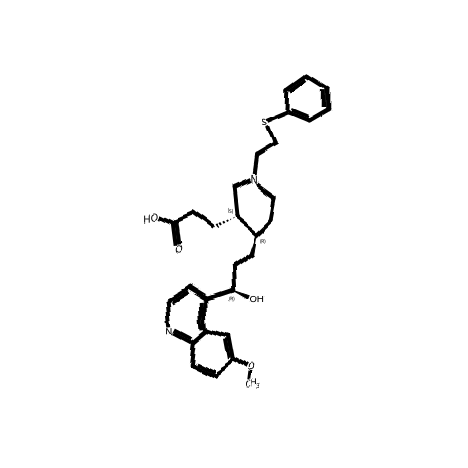 COc1ccc2nccc([C@H](O)CC[C@@H]3CCN(CCSc4ccccc4)C[C@H]3CCC(=O)O)c2c1